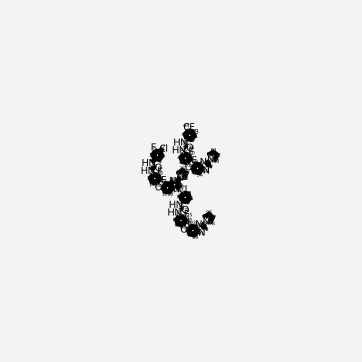 O=C(Nc1ccc(Cl)c(F)c1)Nc1ccc(Oc2ccc3ncc(N4CCCC4)nc3c2)c(F)c1F.O=C(Nc1cccc(C(F)(F)F)c1)Nc1ccc(Oc2ccc3ncc(N4CCCC4)nc3c2)c(F)c1F.O=C(Nc1cccc(Cl)c1)Nc1ccc(Oc2ccc3ncc(N4CCCC4)nc3c2)c(F)c1F